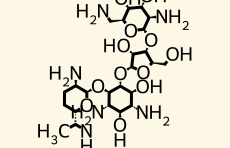 CC(N)[C@@H]1CC[C@@H](N)[C@@H](O[C@@H]2[C@@H](N)[C@H](O)[C@@H](N)[C@H](O)[C@H]2O[C@@H]2O[C@H](CO)[C@@H](O[C@H]3O[C@@H](CN)[C@@H](O)[C@H](O)[C@H]3N)[C@H]2O)O1